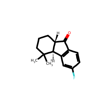 [2H][C@@]12c3cc(F)ccc3C(=O)[C@H]1CCCC2(C)C